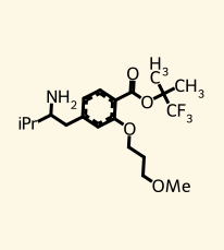 COCCCOc1cc(CC(N)C(C)C)ccc1C(=O)OC(C)(C)C(F)(F)F